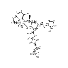 Cc1ccc2cn[nH]c2c1-c1c(Cl)cc2c(N3CCC4(CN(C(=O)OC(C)(C)C)C4)C3)nc(OCC3CCCN3C)nc2c1F